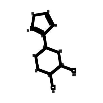 ClC1CCC(C2=NCC=C2)CC1Cl